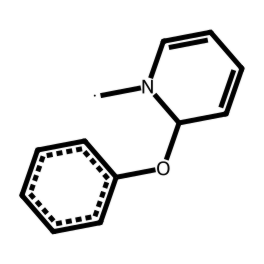 [CH2]N1C=CC=CC1Oc1ccccc1